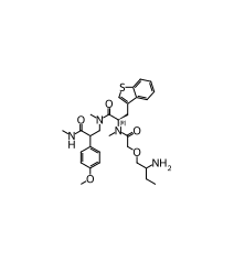 CCC(N)COCC(=O)N(C)[C@H](Cc1csc2ccccc12)C(=O)N(C)CC(C(=O)NC)c1ccc(OC)cc1